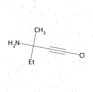 CCC(C)(N)C#CCl